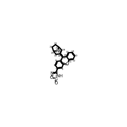 O=S1NC(c2ccc3c(c2)Oc2ccccc2C3=C2CC3CCC(C2)N3)=NO1